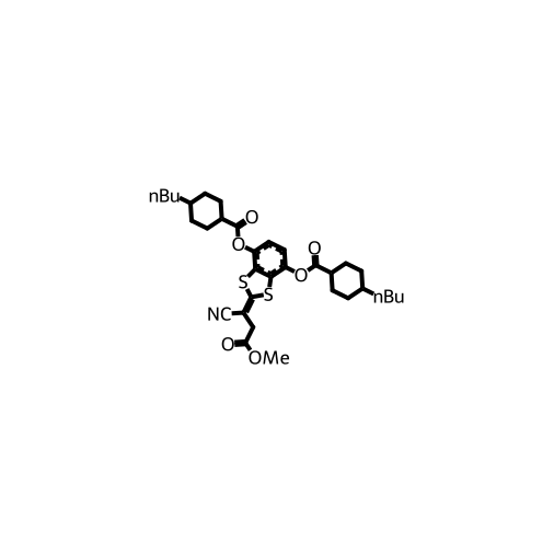 CCCCC1CCC(C(=O)Oc2ccc(OC(=O)C3CCC(CCCC)CC3)c3c2SC(=C(C#N)CC(=O)OC)S3)CC1